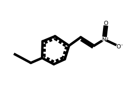 CCc1ccc(C=C[N+](=O)[O-])cc1